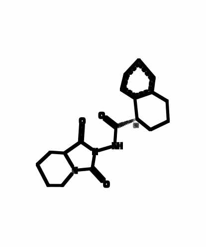 O=C(NN1C(=O)C2CCCCN2C1=O)[C@H]1CCCc2ccccc21